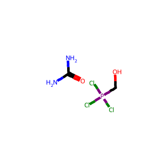 NC(N)=O.OC[P](Cl)(Cl)Cl